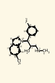 CNCC(O)C(c1cccc(F)c1)n1ccc2ccc(Cl)cc21